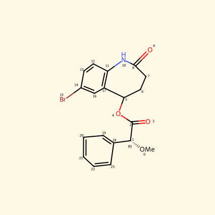 CO[C@@H](C(=O)OC1CCC(=O)Nc2ccc(Br)cc21)c1ccccc1